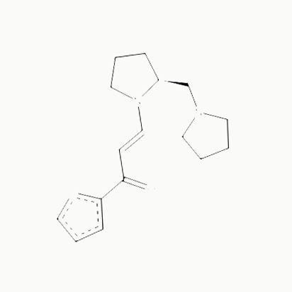 O=C(/C=C/N1CCC[C@H]1CN1CCCC1)c1ccco1